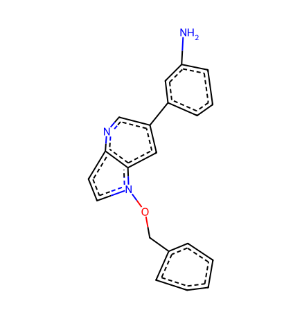 Nc1cccc(-c2cnc3ccn(OCc4ccccc4)c3c2)c1